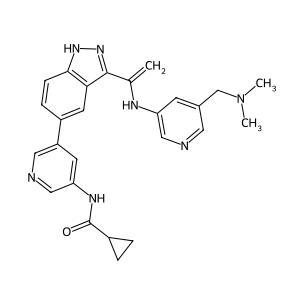 C=C(Nc1cncc(CN(C)C)c1)c1n[nH]c2ccc(-c3cncc(NC(=O)C4CC4)c3)cc12